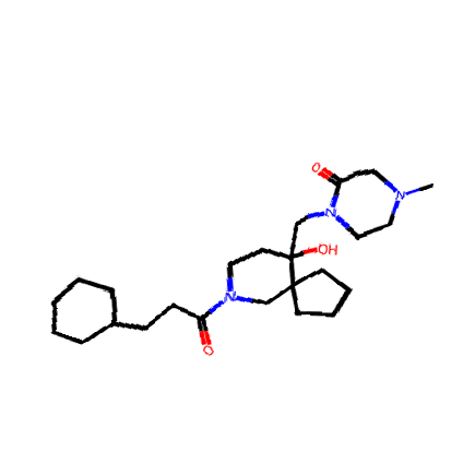 CN1CCN(CC2(O)CCN(C(=O)CCC3CCCCC3)CC23CCCC3)C(=O)C1